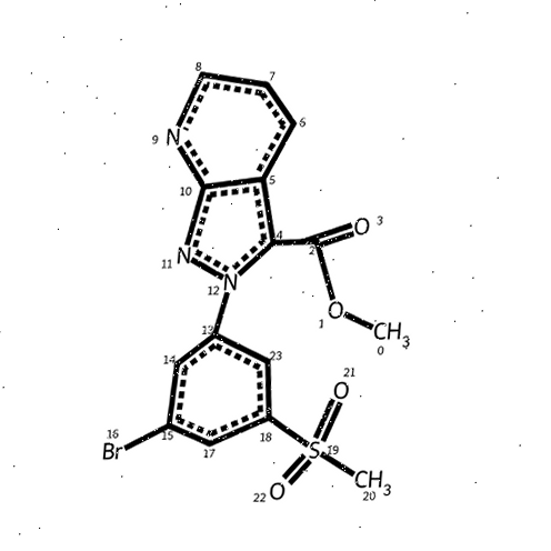 COC(=O)c1c2cccnc2nn1-c1cc(Br)cc(S(C)(=O)=O)c1